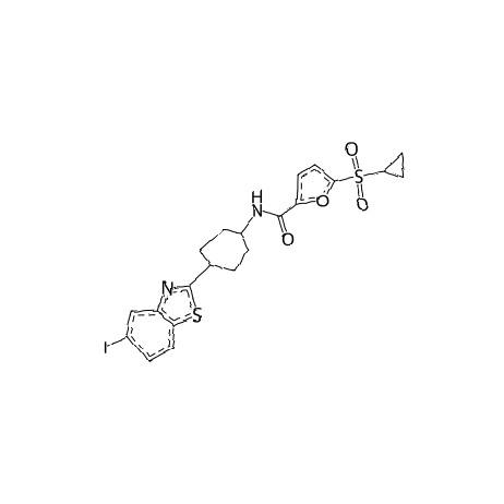 O=C(NC1CCC(c2nc3cc(I)ccc3s2)CC1)c1ccc(S(=O)(=O)C2CC2)o1